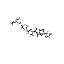 N#Cc1cccc(-c2ccc(-c3cccc(C(=O)Nc4nnc(-c5ccco5)o4)c3)cc2)c1